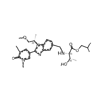 COC[C@H](C)n1c(-c2cc(C)c(=O)n(C)c2)nc2cc(CN[C@H](C(=O)OCC(C)C)[C@H](C)O)ccc21